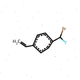 C=Cc1ccc(C(F)Br)cc1